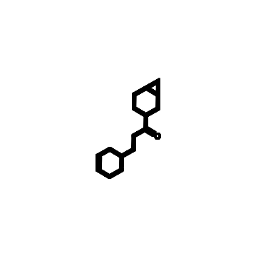 O=C(CCC1CC=CCC1)C1CCC2CC2C1